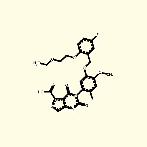 CCOCCOc1ccc(F)cc1COc1cc(-n2c(=O)[nH]c3csc(C(=O)O)c3c2=O)c(F)cc1OC